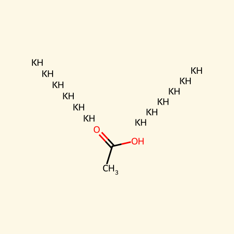 CC(=O)O.[KH].[KH].[KH].[KH].[KH].[KH].[KH].[KH].[KH].[KH].[KH].[KH]